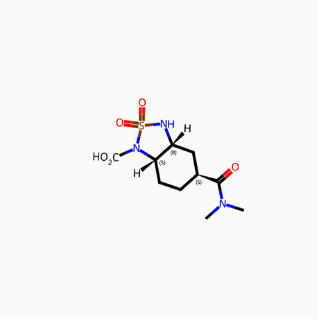 CN(C)C(=O)[C@H]1CC[C@H]2[C@@H](C1)NS(=O)(=O)N2C(=O)O